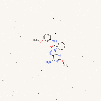 COc1cccc(NC(=O)C2(n3cnc4c(N)nc(OC)nc43)CCCCC2)c1